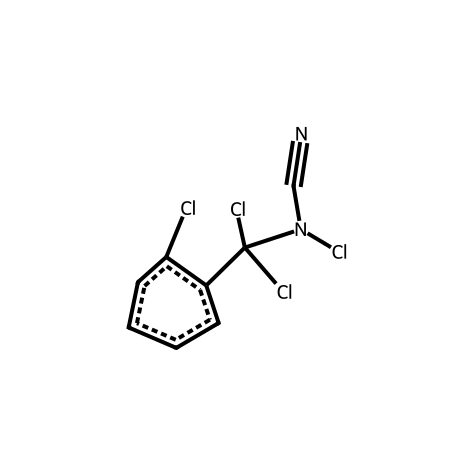 N#CN(Cl)C(Cl)(Cl)c1ccccc1Cl